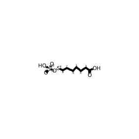 O=C(O)CCCCCCSOS(=O)(=O)O